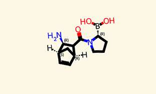 N[C@H]1C(C(=O)N2CCC[C@H]2B(O)O)[C@H]2C=C[C@@H]1C2